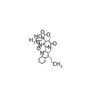 CCCc1c2c(nc3ccccc13)-c1c([N+](=O)[O-])c3c(c(=O)n1C2)COC(=O)[C@]3(O)CC